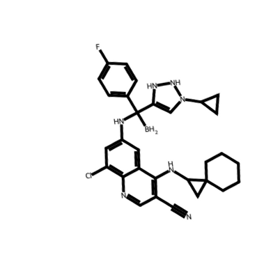 BC(Nc1cc(Cl)c2ncc(C#N)c(NC3CC34CCCCC4)c2c1)(C1=CN(C2CC2)NN1)c1ccc(F)cc1